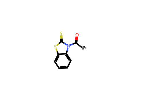 CC(C)C(=O)n1c(=S)sc2ccccc21